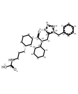 O=C(O)NCCC[C@@H]1CCC[C@H](C(=O)N(Cc2nnnn2Cc2ccccc2)C2CCCCC2)C1